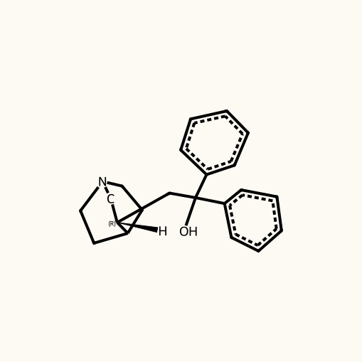 OC(C[C@H]1CN2CCC1CC2)(c1ccccc1)c1ccccc1